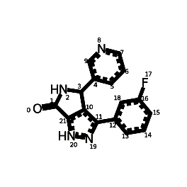 O=C1NC(c2cccnc2)c2c(-c3cccc(F)c3)n[nH]c21